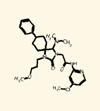 COCCCN1C(=O)N(CC(=O)Nc2cc(OC)ccn2)C(N(C)C)C12CCC(c1ccccc1)CC2